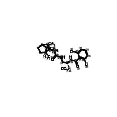 CC1(C)C2CCC1(C)C(NC(=O)NC[C@H](NC(=O)c1c(Cl)cccc1Cl)C(=O)O)C2